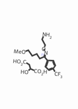 COCCCC/C(=N\OCCN)c1ccc(C(F)(F)F)cc1.O=C(O)CC(O)C(=O)O